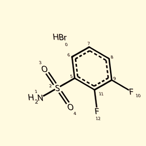 Br.NS(=O)(=O)c1cccc(F)c1F